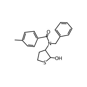 Cc1ccc(C(=O)N(Cc2ccccc2)C2CCSC2O)cc1